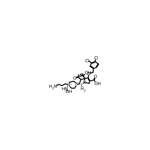 CN1CC(C(=O)O)=C(OCc2ccc(Cl)c(Cl)c2)C1(C(=O)O)C(CN1CC[N+](CCCN)(NO)CC1)C(N)=O